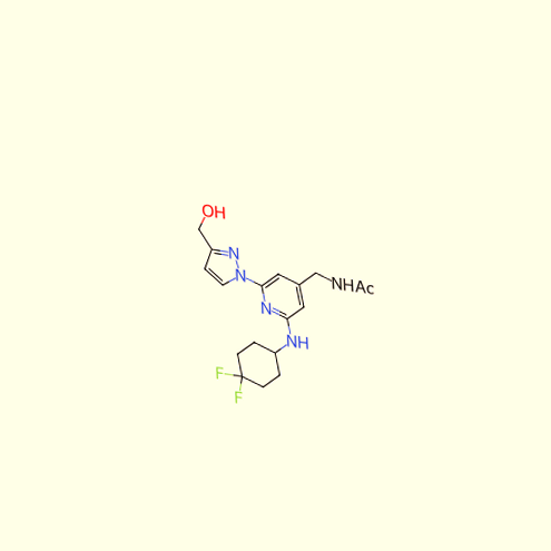 CC(=O)NCc1cc(NC2CCC(F)(F)CC2)nc(-n2ccc(CO)n2)c1